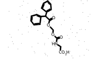 O=C(O)CNC(=O)OCOC(=O)C(c1ccccc1)c1ccccc1